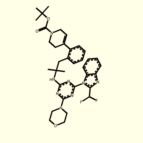 CC(C)(Cc1ccccc1C1=CCN(C(=O)OC(C)(C)C)CC1)Nc1nc(N2CCOCC2)nc(-n2c(C(F)F)nc3ccccc32)n1